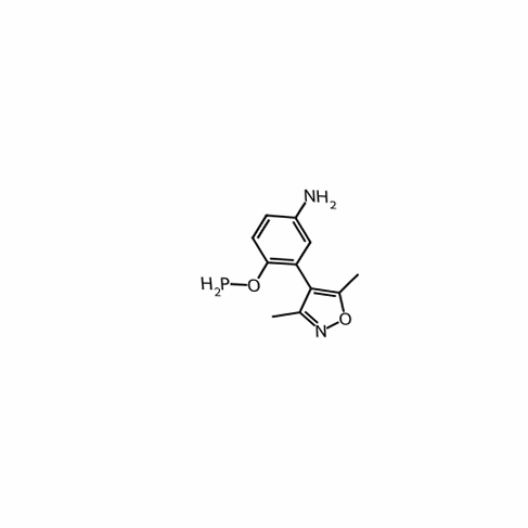 Cc1noc(C)c1-c1cc(N)ccc1OP